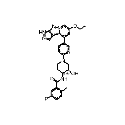 CCOc1cc(-c2ccc(N3CC[C@H](NC(=O)c4cc(F)ccc4C)[C@H](O)C3)nc2)c2c3cn[nH]c3nn2c1